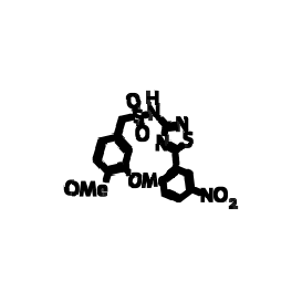 COc1ccc(CS(=O)(=O)Nc2nsc(-c3cccc([N+](=O)[O-])c3)n2)cc1OC